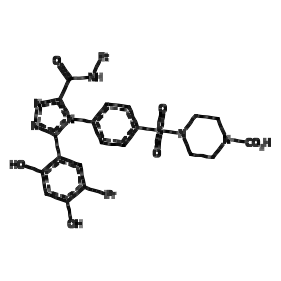 CCNC(=O)c1nnc(-c2cc(C(C)C)c(O)cc2O)n1-c1ccc(S(=O)(=O)N2CCN(C(=O)O)CC2)cc1